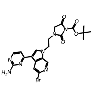 CC(C)(C)OC(=O)N1C(=O)CN(CCn2cc(-c3ccnc(N)n3)c3cc(Br)ncc32)C1=O